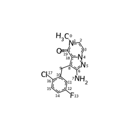 Cn1ccn2nc(N)c(Cc3cc(F)ccc3Cl)c2c1=O